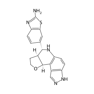 Nc1nc2ccc([C@@H]3Nc4ccc5[nH]ncc5c4[C@H]4OCC[C@H]43)cc2s1